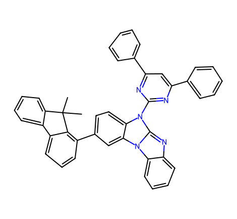 CC1(C)c2ccccc2-c2cccc(-c3ccc4c(c3)n3c5ccccc5nc3n4-c3nc(-c4ccccc4)cc(-c4ccccc4)n3)c21